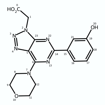 O=C(O)Cn1nnc2c(N3CCOCC3)nc(-c3cccc(O)c3)nc21